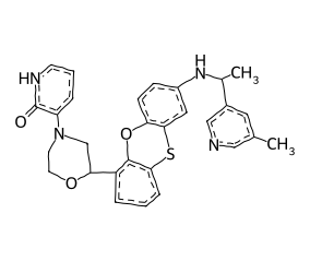 Cc1cncc(C(C)Nc2ccc3c(c2)Sc2cccc(C4CN(c5ccc[nH]c5=O)CCO4)c2O3)c1